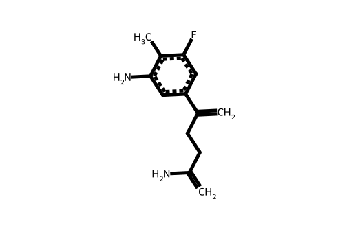 C=C(N)CCC(=C)c1cc(N)c(C)c(F)c1